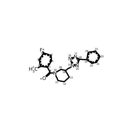 Cc1cc(F)ccc1C(=O)N1CCCC(n2nnc(-c3ccccc3)n2)C1